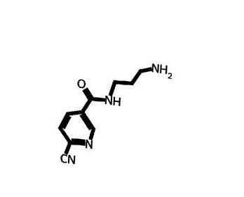 N#Cc1ccc(C(=O)NCCCN)cn1